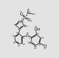 CN(C)S(=O)(=O)n1ccc(-c2ccccc2Oc2nnc(Cl)cc2O)n1